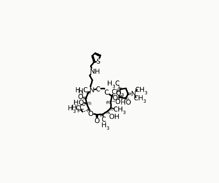 CC[C@H]1OC(=O)[C@H](C)[C@@H](O)[C@H](C)[C@@H](O[C@@H]2O[C@H](C)C[C@H](N(C)C)[C@H]2O)C(C)(O)CCCN(CCCNCc2cccs2)[C@H](C)[C@@H](O)[C@]1(C)O